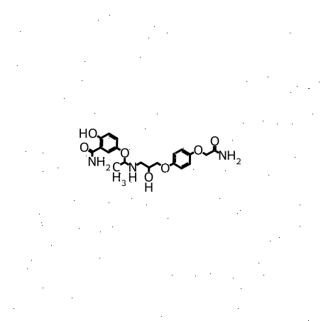 CC(NCC(O)COc1ccc(OCC(N)=O)cc1)Oc1ccc(O)c(C(N)=O)c1